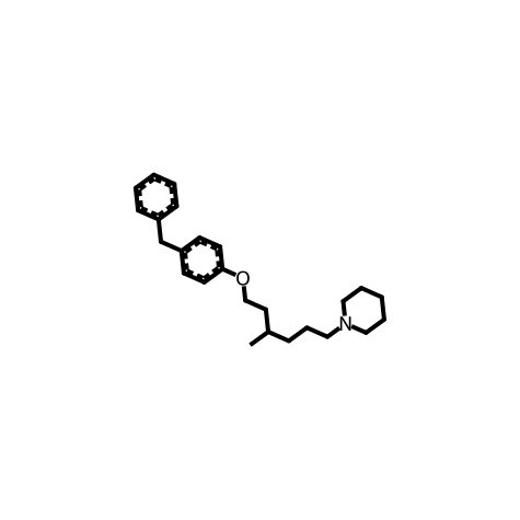 CC(CCCN1CCCCC1)CCOc1ccc(Cc2ccccc2)cc1